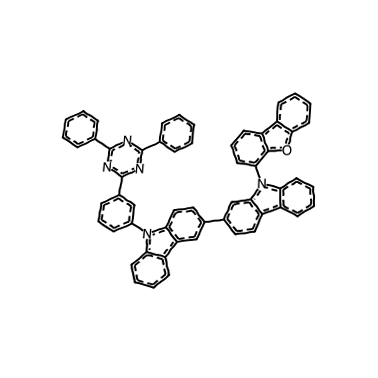 c1ccc(-c2nc(-c3ccccc3)nc(-c3cccc(-n4c5ccccc5c5cc(-c6ccc7c8ccccc8n(-c8cccc9c8oc8ccccc89)c7c6)ccc54)c3)n2)cc1